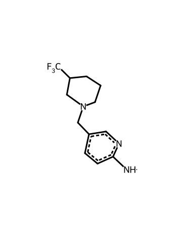 [NH]c1ccc(CN2CCCC(C(F)(F)F)C2)cn1